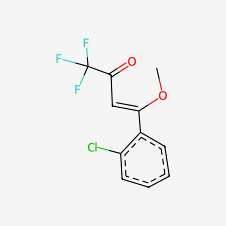 CO/C(=C\C(=O)C(F)(F)F)c1ccccc1Cl